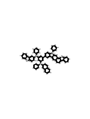 c1ccc(N(c2cc(-c3ccc4c(c3)c3cc5ccc6c7ccccc7sc6c5cc3n4-c3ccccc3)cc(N(c3ccccc3)c3ccc4oc5ccccc5c4c3)c2)c2ccc3ccccc3c2)cc1